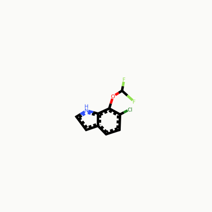 FC(F)Oc1c(Cl)ccc2cc[nH]c12